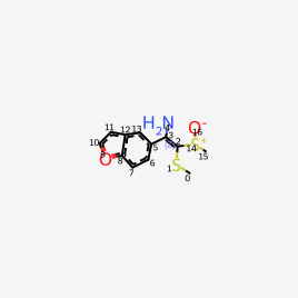 CS/C(=C(/N)c1ccc2occc2c1)[S+](C)[O-]